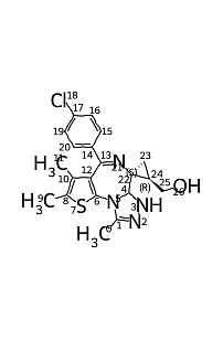 CC1=NNC2N1c1sc(C)c(C)c1C(c1ccc(Cl)cc1)=N[C@]21C[C@H]1CO